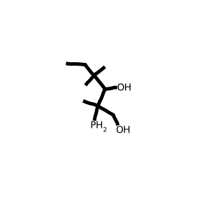 CCC(C)(C)C(O)C(C)(P)CO